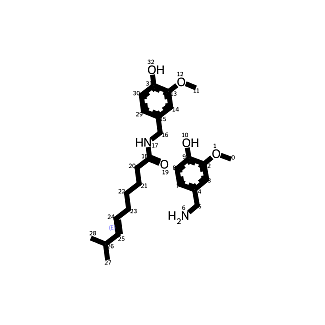 COc1cc(CN)ccc1O.COc1cc(CNC(=O)CCCC/C=C/C(C)C)ccc1O